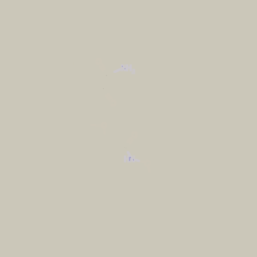 CCc1sc2cccc(OCC(=O)NOCc3ccccc3)c2c1C(=O)C(N)=O